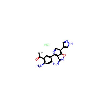 CCCC(=O)c1cc(-c2ncc(-c3cn[nH]c3)c3onc(N)c23)ccc1N.Cl